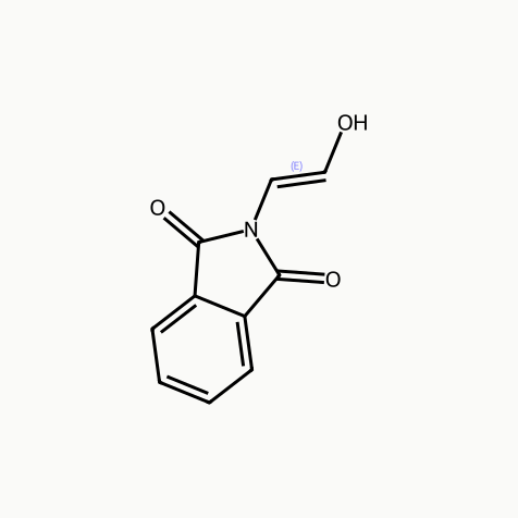 O=C1c2ccccc2C(=O)N1/C=C/O